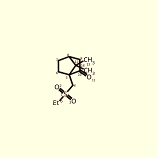 CCS(=O)(=O)CC12CCC(CC1=O)C2(C)C